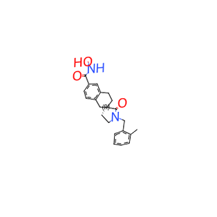 Cc1ccccc1CN1CC[C@]2(CCc3cc(C(=O)NO)ccc3C2)C1=O